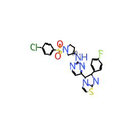 O=S(=O)(c1ccc(Cl)cc1)N1CC[C@@H](Nc2nccc(C3C(c4ccc(F)cc4)N=C4SC=CN43)n2)C1